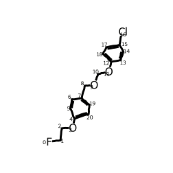 FCCOc1ccc(COCOc2ccc(Cl)cc2)cc1